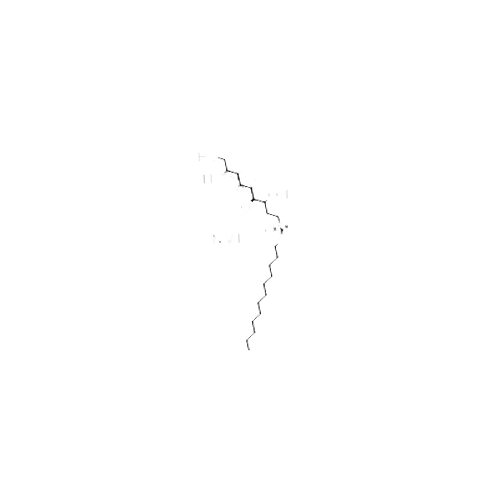 CCCCCCCCCCCCOS(=O)(=O)CCC(O)C(=O)[C@H](O)[C@@H](O)[C@H](O)[C@H](O)CO.[NaH]